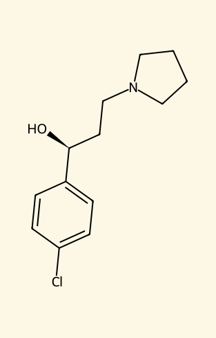 O[C@@H](CCN1CCCC1)c1ccc(Cl)cc1